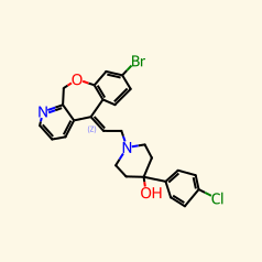 OC1(c2ccc(Cl)cc2)CCN(C/C=C2\c3ccc(Br)cc3OCc3ncccc32)CC1